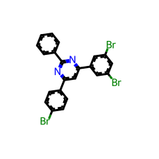 Brc1ccc(-c2cc(-c3cc(Br)cc(Br)c3)nc(-c3ccccc3)n2)cc1